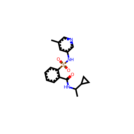 Cc1cncc(NS(=O)(=O)c2ccccc2C(=O)NC(C)C2CC2)c1